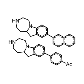 CC(=O)c1ccc(-c2ccc3c(c2)CC2CCNCCN32)cc1.c1ccc2cc(-c3ccc4c(c3)CC3CCNCCN43)ccc2c1